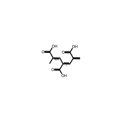 C=C(/C=C(\C=C(/C)C(=O)O)C(=O)O)C(=O)O